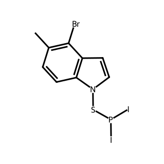 Cc1ccc2c(ccn2SP(I)I)c1Br